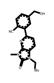 Cn1c(=O)n(CC(C)(C)C)c2ccc(-c3cc(CO)ccc3C#N)nc21